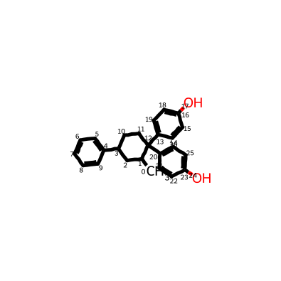 CC1CC(c2ccccc2)CCC1(c1ccc(O)cc1)c1ccc(O)cc1